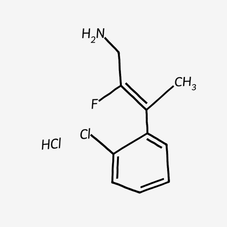 CC(=C(F)CN)c1ccccc1Cl.Cl